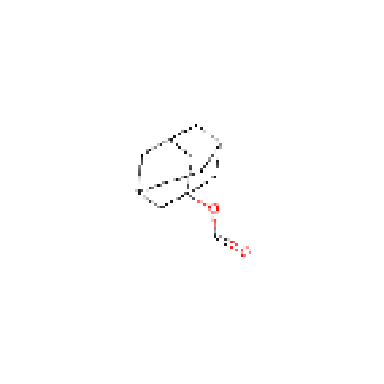 O=COC12CC3CC(CC(C3)C1)C2